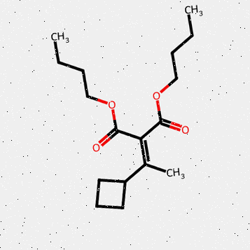 CCCCOC(=O)C(C(=O)OCCCC)=C(C)C1CCC1